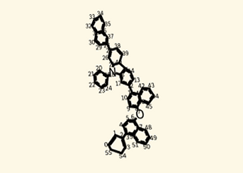 C1=CC(c2ccc(Oc3ccc(-c4ccc5c(c4)N(c4ccccc4)C4C=C(c6ccc7ccccc7c6)C=CC54)c4ccccc34)c3ccccc23)=CCC1